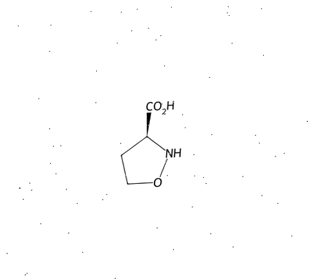 O=C(O)[C@@H]1CCON1